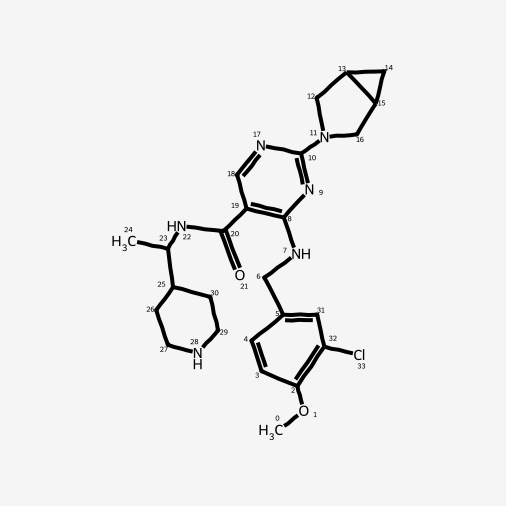 COc1ccc(CNc2nc(N3CC4CC4C3)ncc2C(=O)NC(C)C2CCNCC2)cc1Cl